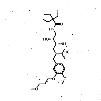 CCC(CC)(CC)C(=O)NC[C@H](O)[C@@H](N)C[C@H](Cc1ccc(OC)c(OCCCOC)c1)C(C)C.Cl